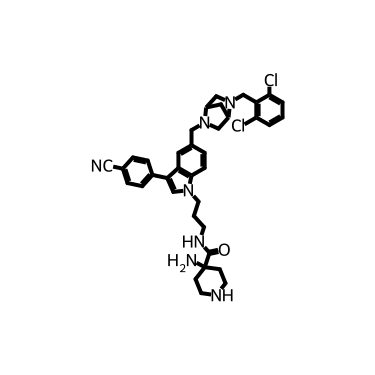 N#Cc1ccc(-c2cn(CCCNC(=O)C3(N)CCNCC3)c3ccc(CN4CC5CC4CN5Cc4c(Cl)cccc4Cl)cc23)cc1